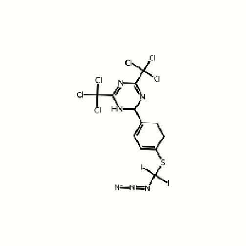 [N-]=[N+]=NC(I)(I)SC1=CC=C(C2N=C(C(Cl)(Cl)Cl)N=C(C(Cl)(Cl)Cl)N2)CC1